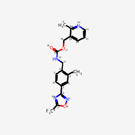 Cc1cc(-c2noc(C(F)(F)F)n2)ccc1CNC(=O)OCc1cccnc1C